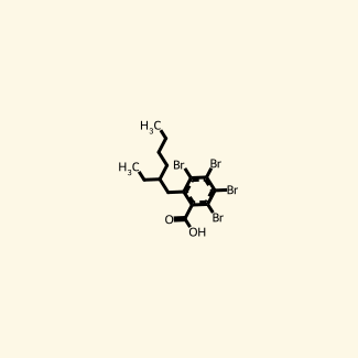 CCCCC(CC)Cc1c(Br)c(Br)c(Br)c(Br)c1C(=O)O